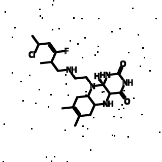 CC1=C(C)CC2C(C1)NC1C(=O)NC(=O)N[C@H]1N2CCNCC(C)/C(F)=C\C(C)Cl